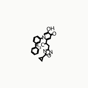 CC(Cc1noc(C2CC2)n1)c1cc(=O)c(O)cn1-c1cccc(-c2ccccc2)c1